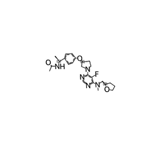 CC(=O)N[C@@H](C)c1ccc(O[C@@H]2CCN(c3ncnc(N(C)C[C@H]4CCCO4)c3F)C2)cc1